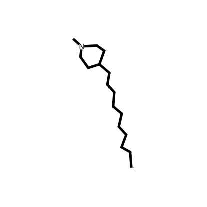 [CH2]CCCCCCCCCC1CCN(C)CC1